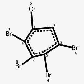 [O]c1cc(Br)c(Br)c(Br)c1Br